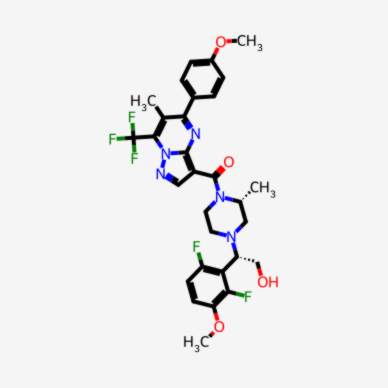 COc1ccc(-c2nc3c(C(=O)N4CCN([C@H](CO)c5c(F)ccc(OC)c5F)C[C@H]4C)cnn3c(C(F)(F)F)c2C)cc1